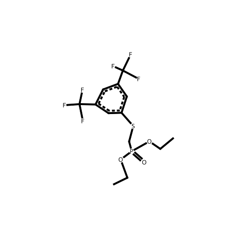 CCOP(=O)(CSc1cc(C(F)(F)F)cc(C(F)(F)F)c1)OCC